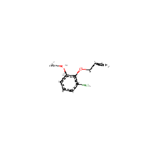 C=CCOc1c(Cl)cccc1OCCCC